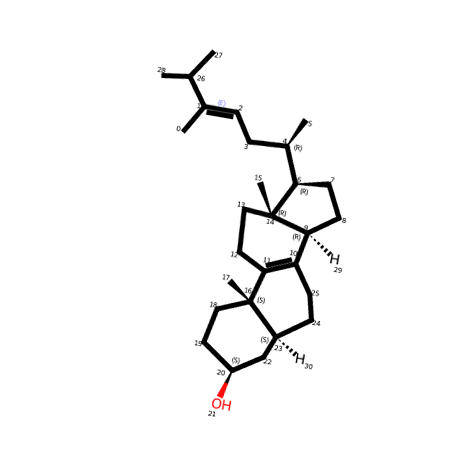 C/C(=C\C[C@@H](C)[C@H]1CC[C@H]2C3=C(CC[C@]12C)[C@@]1(C)CC[C@H](O)C[C@@H]1CC3)C(C)C